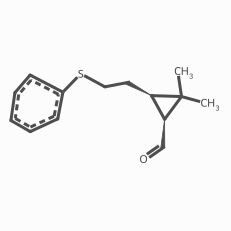 CC1(C)[C@H](CCSc2ccccc2)[C@@H]1C=O